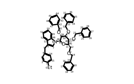 CCc1ccc(Cc2cn([C@@H]3O[C@H](COCc4ccccc4)[C@@H](OCc4ccccc4)[C@H](OCc4ccccc4)[C@H]3OCc3ccccc3)c3ccccc23)cc1